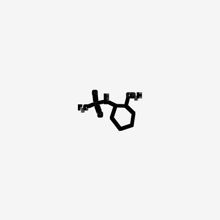 O=C(O)C1CCCCC1NS(=O)(=O)C(F)(F)F